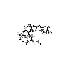 C=C(Cc1ncc2cc(C(F)F)nc(NC(C)C)c2n1)CC1CCC(=O)CC1